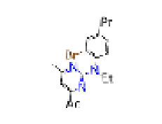 CCN(c1nc(C)cc(C(C)=O)n1)c1ccc(C(C)C)cc1Br